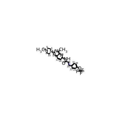 Cc1nc(N2CCN(C)CC2)nc2ccc(NC(=O)/C=C/c3ccc(OC(F)(F)F)cc3)nc12